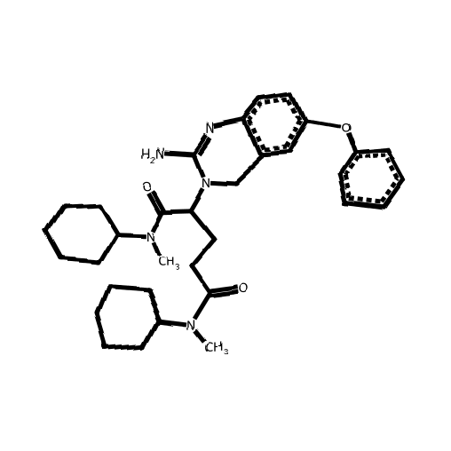 CN(C(=O)CCC(C(=O)N(C)C1CCCCC1)N1Cc2cc(Oc3ccccc3)ccc2N=C1N)C1CCCCC1